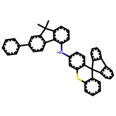 CC1(C)c2cc(-c3ccccc3)ccc2-c2c(Nc3ccc4c(c3)Sc3ccccc3C43c4ccccc4-c4ccccc43)cccc21